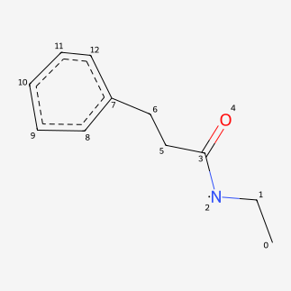 CC[N]C(=O)CCc1ccccc1